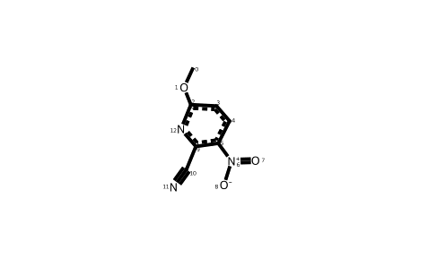 COc1ccc([N+](=O)[O-])c(C#N)n1